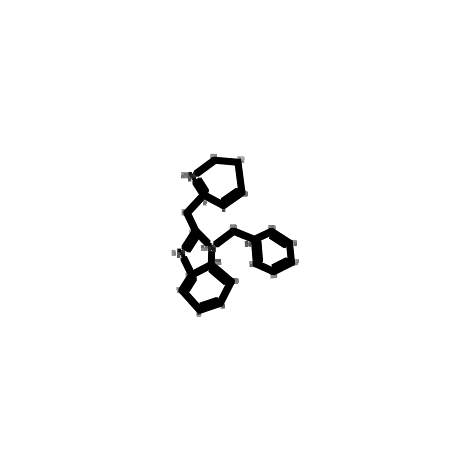 C1=CC(Cc2nc3ccccc3n2Cc2ccccc2)=NCC1